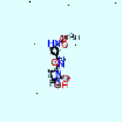 CC(C)(C)OC(=O)N[C@@H]1CC[C@H](c2nnc([C@@H]3CC[C@H]4CN3C(=O)N4O)o2)C1